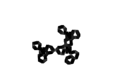 c1ccc(-n2c3ccccc3c3cc(-c4ccc5c(c4)c4cc6c(cc4n5-c4cccc5ccccc45)c4ccccc4n6-c4ccccc4)ccc32)cc1